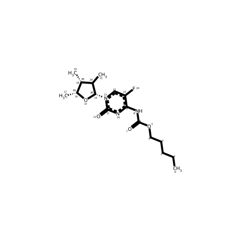 CCCCCOC(=O)Nc1nc(=O)n([C@@H]2O[C@H](C)[C@H](C)C2C)cc1F